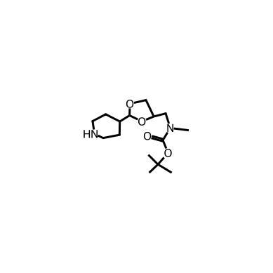 CN(CC1COC(C2CCNCC2)O1)C(=O)OC(C)(C)C